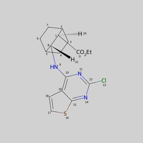 CCOC(=O)[C@@H]1C2CCC(CC2)[C@H]1Nc1nc(Cl)nc2sccc12